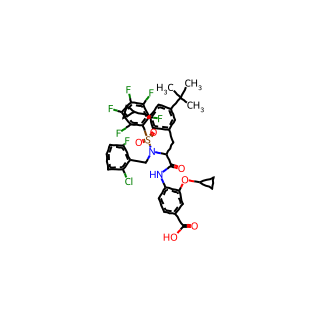 CC(C)(C)c1cc(CC(C(=O)Nc2ccc(C(=O)O)cc2OC2CC2)N(Cc2c(F)cccc2Cl)S(=O)(=O)c2c(F)c(F)c(F)c(F)c2F)cc(C2CC2)c1